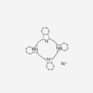 [Ni+].c1ccc2c(c1)-c1cc3[nH]c(cc4nc(cc5[nH]c(cc-2n1)c1ccccc51)-c1ccccc1-4)c1ccccc31